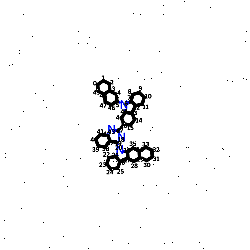 c1ccc2cc(-n3c4ccccc4c4ccc(-c5nc(-n6c7ccccc7c7cc8ccccc8cc76)c6ccccc6n5)cc43)ccc2c1